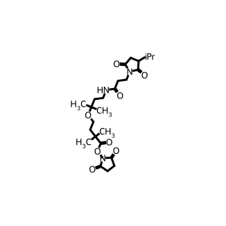 CC(C)C1CC(=O)N(CCC(=O)NCCC(C)(C)OCCC(C)(C)C(=O)ON2C(=O)CCC2=O)C1=O